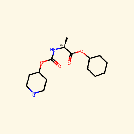 C[C@H](NC(=O)OC1CCNCC1)C(=O)OC1CCCCC1